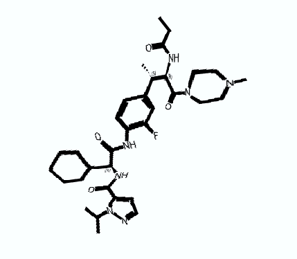 CCC(=O)N[C@@H](C(=O)N1CCN(C)CC1)[C@@H](C)c1ccc(NC(=O)[C@@H](NC(=O)c2ccnn2C(C)C)C2CCCCC2)c(F)c1